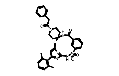 Cc1cccc(C)c1-c1cc2nc(n1)NS(=O)(=O)c1cccc(c1)C(=O)NC1(CCN(C(=O)Cc3ccccc3)CC1)O2